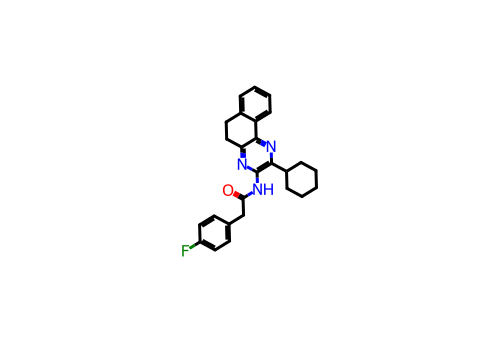 O=C(Cc1ccc(F)cc1)Nc1nc2c(nc1C1CCCCC1)-c1ccccc1CC2